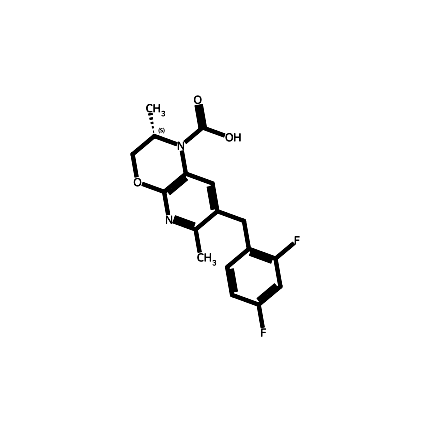 Cc1nc2c(cc1Cc1ccc(F)cc1F)N(C(=O)O)[C@@H](C)CO2